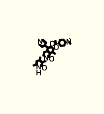 Cc1cc(C)c(CN2CCc3c(c(C)c4c(c3-c3ccncc3)OC(C)([C@H]3CC[C@H](N(C)C)CC3)O4)C2=O)c(=O)[nH]1